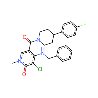 Cn1cc(C(=O)N2CCC(c3ccc(F)cc3)CC2)c(NCc2ccccc2)c(Cl)c1=O